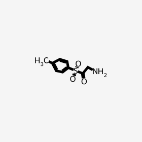 Cc1ccc(S(=O)(=O)C(=O)CN)cc1